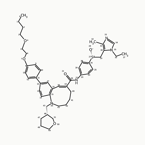 CCCCOCCOc1ccc(-c2ccc3c(c2)/C=C(/C(=O)Nc2ccc([S@+]([O-])Cc4c(C)ncn4CC)cc2)CCCCN3C[C@H]2CCCOC2)cc1